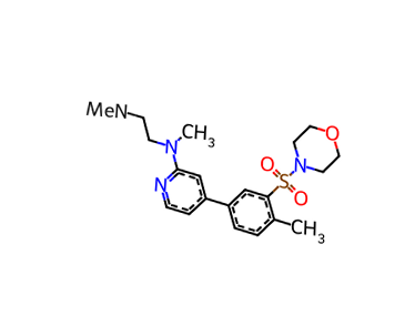 CNCCN(C)c1cc(-c2ccc(C)c(S(=O)(=O)N3CCOCC3)c2)ccn1